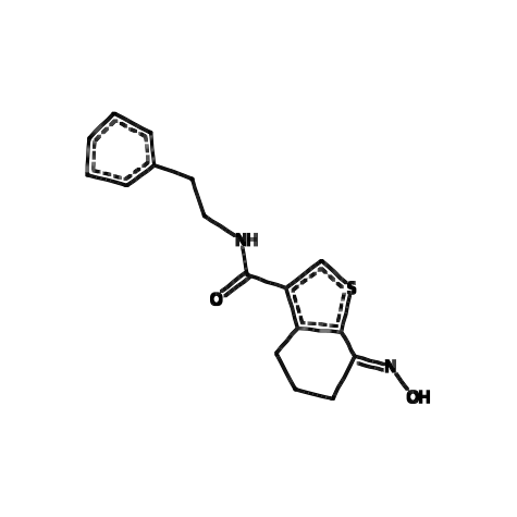 O=C(NCCc1ccccc1)c1csc2c1CCCC2=NO